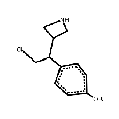 Oc1ccc(C(CCl)C2CNC2)cc1